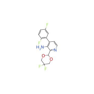 Nc1c(-c2cc(F)ccc2F)ccnc1C1OCC(F)(F)CO1